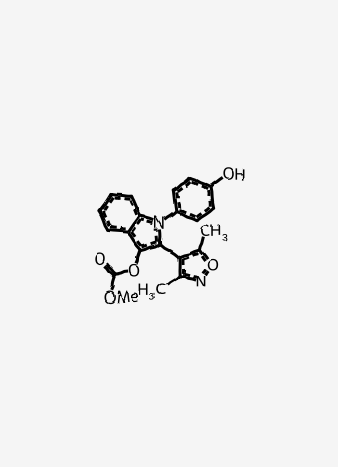 COC(=O)Oc1c(-c2c(C)noc2C)n(-c2ccc(O)cc2)c2ccccc12